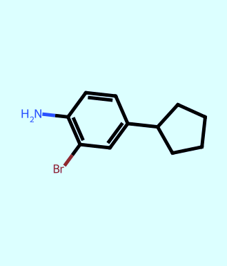 Nc1ccc(C2CCCC2)cc1Br